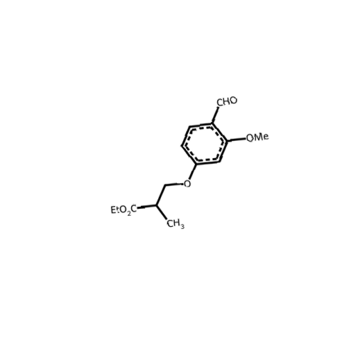 CCOC(=O)C(C)COc1ccc(C=O)c(OC)c1